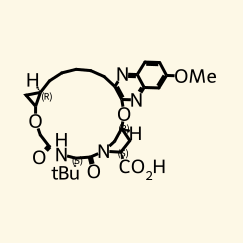 COc1ccc2nc3c(nc2c1)O[C@@H]1C[C@@H](C(=O)O)N(C1)C(=O)[C@H](C(C)(C)C)NC(=O)COC1C[C@H]1CCCCC3